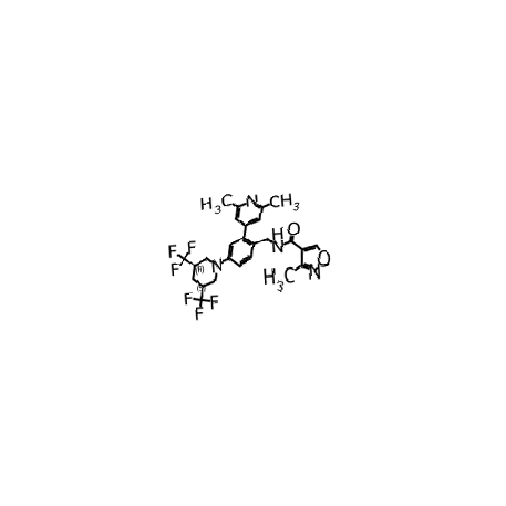 Cc1cc(-c2cc(N3C[C@H](C(F)(F)F)C[C@H](C(F)(F)F)C3)ccc2CNC(=O)c2conc2C)cc(C)n1